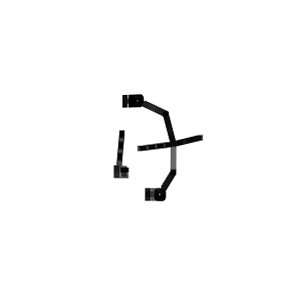 CC(C)(CO)CO.CCC